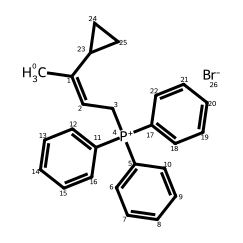 CC(=CC[P+](c1ccccc1)(c1ccccc1)c1ccccc1)C1CC1.[Br-]